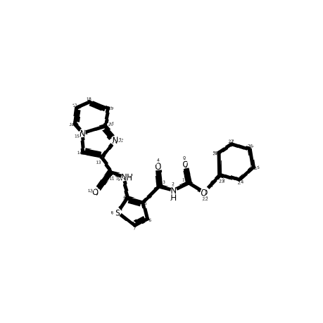 O=C(NC(=O)c1ccsc1NC(=O)c1cn2ccccc2n1)OC1CCCCC1